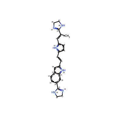 C/C(=C\c1ccc(/C=C/c2cc3ccc(C4=NCCN4)cc3[nH]2)[nH]1)C1=NCCN1